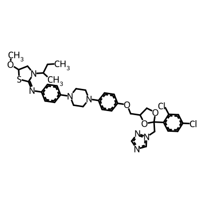 CCC(C)N1CC(OC)S/C1=N/c1ccc(N2CCN(c3ccc(OCC4COC(Cn5cncn5)(c5ccc(Cl)cc5Cl)O4)cc3)CC2)cc1